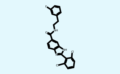 O=C(NCCc1cccc(F)c1)c1ccc2nc(-c3c(Cl)cccc3Cl)[nH]c2c1